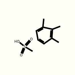 CS(=O)(=O)O.Cc1cccc(C)c1C